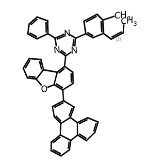 C/C=C\c1cc(-c2nc(-c3ccccc3)nc(-c3ccc(-c4ccc5c6ccccc6c6ccccc6c5c4)c4oc5ccccc5c34)n2)ccc1C